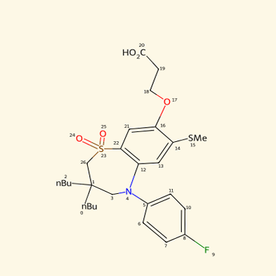 CCCCC1(CCCC)CN(c2ccc(F)cc2)c2cc(SC)c(OCCC(=O)O)cc2S(=O)(=O)C1